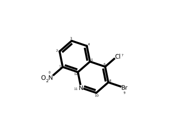 O=[N+]([O-])c1cccc2c(Cl)c(Br)cnc12